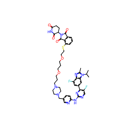 Cc1nc2c(F)cc(-c3nc(Nc4ccc(CN5CCN(CCCOCCCOCCSc6cccc7c6C(=O)N(C6CCC(=O)NC6=O)C7=O)CC5)cn4)ncc3F)cc2n1C(C)C